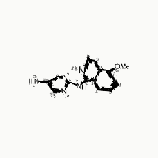 COc1cccc2c(Nc3ncc(N)cn3)nccc12